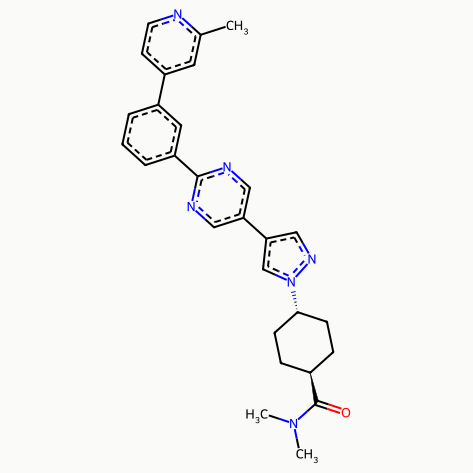 Cc1cc(-c2cccc(-c3ncc(-c4cnn([C@H]5CC[C@H](C(=O)N(C)C)CC5)c4)cn3)c2)ccn1